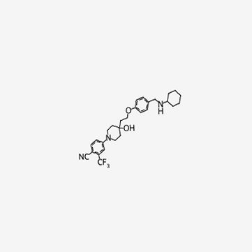 N#Cc1ccc(N2CCC(O)(CCOc3ccc(CNC4CCCCC4)cc3)CC2)cc1C(F)(F)F